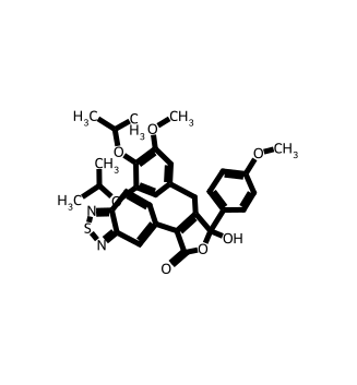 COc1ccc(C2(O)OC(=O)C(c3ccc4nsnc4c3)=C2Cc2cc(OC)c(OC(C)C)c(OC(C)C)c2)cc1